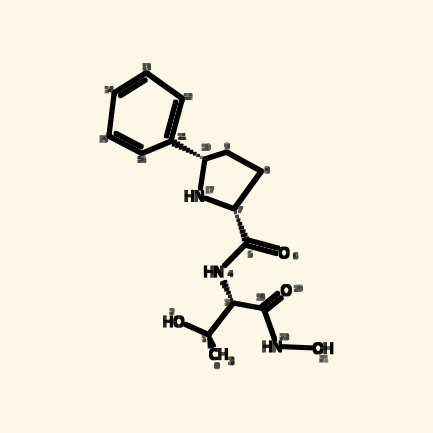 C[C@@H](O)[C@H](NC(=O)[C@H]1CC[C@@H](c2ccccc2)N1)C(=O)NO